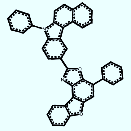 c1ccc(-c2cc3oc4ccccc4c3c3nc(-c4ccc5c(c4)c4c6ccccc6ccc4n5-c4ccccc4)oc23)cc1